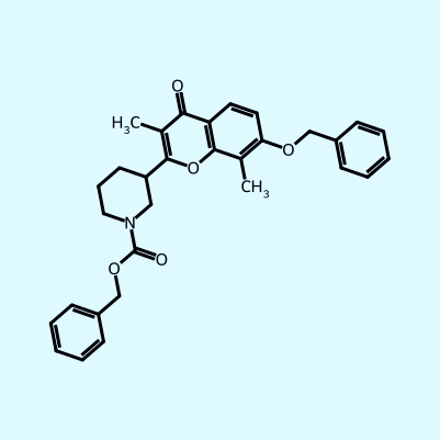 Cc1c(C2CCCN(C(=O)OCc3ccccc3)C2)oc2c(C)c(OCc3ccccc3)ccc2c1=O